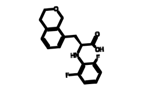 O=C(O)[C@H](Cc1cccc2c1COCC2)Nc1c(F)cccc1F